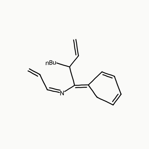 C=C/C=N\C(=C1\C=CC=CC1)C(C=C)CCCC